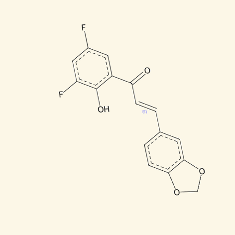 O=C(/C=C/c1ccc2c(c1)OCO2)c1cc(F)cc(F)c1O